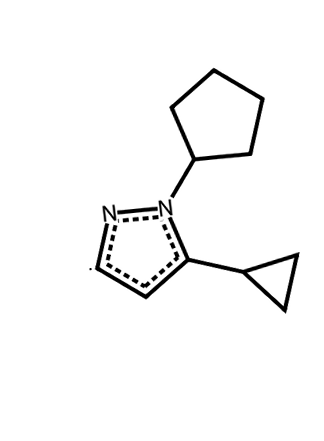 [c]1cc(C2CC2)n(C2CCCC2)n1